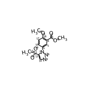 COC(=O)c1cc(-n2nncc2S(C)(=O)=O)ccc1OC